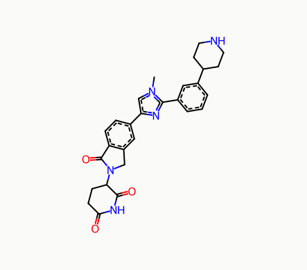 Cn1cc(-c2ccc3c(c2)CN(C2CCC(=O)NC2=O)C3=O)nc1-c1cccc(C2CCNCC2)c1